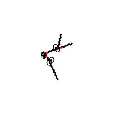 CCCCCCCCCCCOC(=O)CCCCC1(CCCCCCC(=O)OC(CCCCCCCC)CCCCCCCC)CCCN1CC